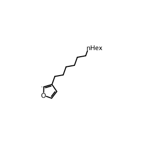 CCCCCCCCCCCCc1[c]occ1